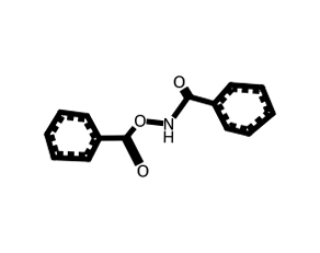 O=C(NOC(=O)c1ccccc1)c1ccccc1